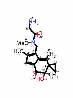 CON(CC1=C(C)C=C2C(=O)[C@](C)(O)C3(CC3)C(C)=C21)C(=O)CN